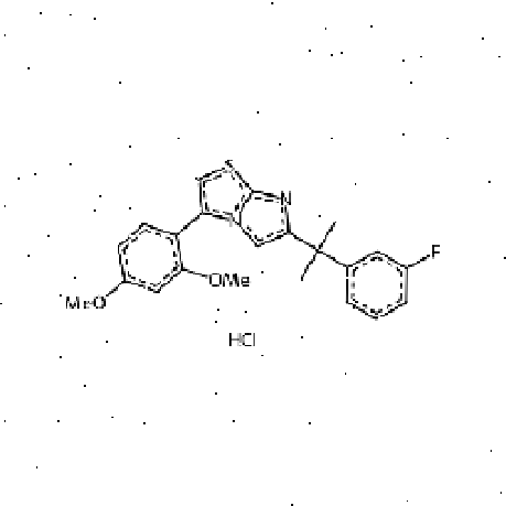 COc1ccc(-c2csc3nc(C(C)(C)c4cccc(F)c4)cn23)c(OC)c1.Cl